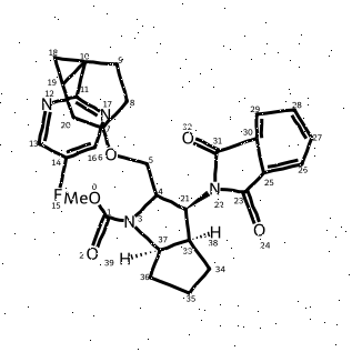 COC(=O)N1C(COC2CCC3(c4ncc(F)cn4)CC3C2)[C@@H](N2C(=O)c3ccccc3C2=O)[C@H]2CCC[C@H]21